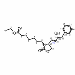 CCOC(=O)CCCCCCN1C(=O)OCC1/C=C/[C@H](O)Cc1ccccc1